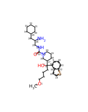 COCCCCC(O)(c1cccc2sccc12)C1CCCN(C(=O)NCC(N)CC2CCCCC2)C1